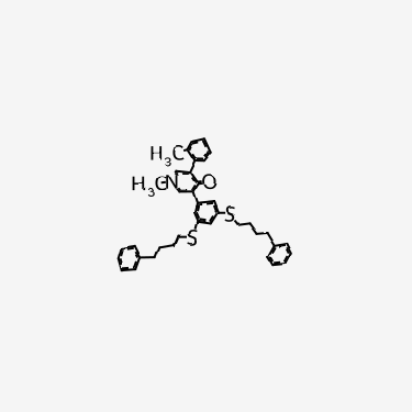 Cc1ccccc1-c1cn(C)cc(-c2cc(SCCCCc3ccccc3)cc(SCCCCc3ccccc3)c2)c1=O